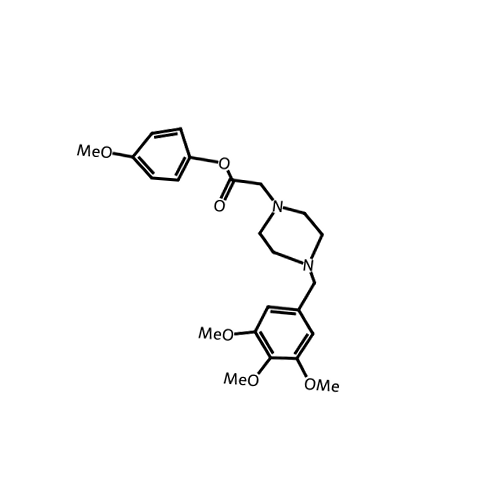 COc1ccc(OC(=O)CN2CCN(Cc3cc(OC)c(OC)c(OC)c3)CC2)cc1